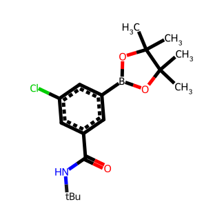 CC(C)(C)NC(=O)c1cc(Cl)cc(B2OC(C)(C)C(C)(C)O2)c1